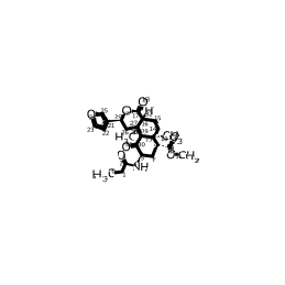 CCC(=O)N[C@@H]1C[C@@H](C(=O)OC)[C@]2(C)CC[C@H]3C(=O)O[C@H](c4ccoc4)C[C@]3(C)C2C1=O